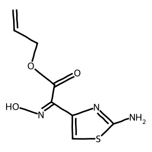 C=CCOC(=O)C(=NO)c1csc(N)n1